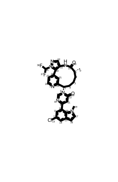 C[C@@H]1CCC[C@H](n2cnc(-c3cc(Cl)cc4ccn(C)c34)cc2=O)c2cc(ccn2)-c2c(cnn2C(F)F)NC1=O